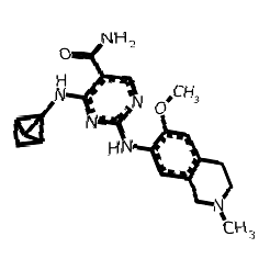 COc1cc2c(cc1Nc1ncc(C(N)=O)c(NC3C4CC3C4)n1)CN(C)CC2